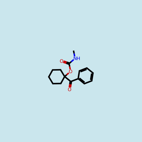 CNC(=O)OC1(C(=O)c2ccccc2)CCCCC1